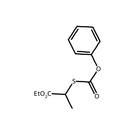 CCOC(=O)C(C)SC(=O)Oc1ccccc1